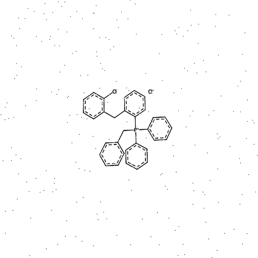 Clc1ccccc1Cc1ccccc1[P+](Cc1ccccc1)(c1ccccc1)c1ccccc1.[Cl-]